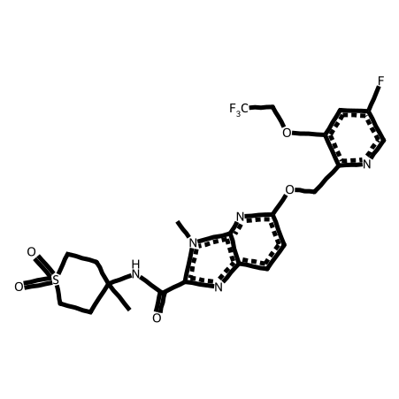 Cn1c(C(=O)NC2(C)CCS(=O)(=O)CC2)nc2ccc(OCc3ncc(F)cc3OCC(F)(F)F)nc21